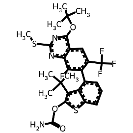 CSc1nc(OC(C)(C)C)c2cc(C(F)(F)F)c(-c3cccc4sc(OC(N)=O)c(C(C)(C)C)c34)c(F)c2n1